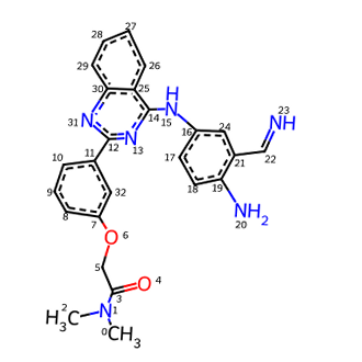 CN(C)C(=O)COc1cccc(-c2nc(Nc3ccc(N)c(C=N)c3)c3ccccc3n2)c1